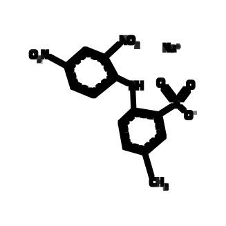 Cc1ccc(Nc2ccc([N+](=O)[O-])cc2[N+](=O)[O-])c(S(=O)(=O)[O-])c1.[Na+]